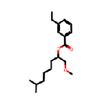 CCc1cccc(C(=O)OC(CCCCC(C)C)COC)c1